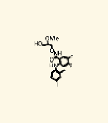 COC(CO)CONC(=O)c1cc(F)c(F)cc1Nc1ccc(I)cc1C